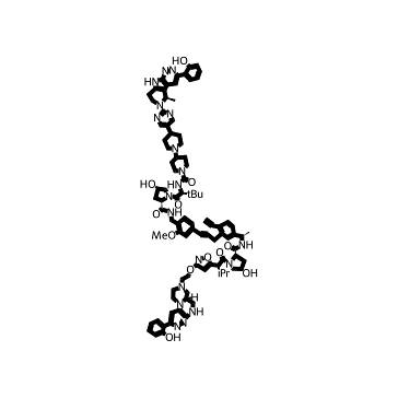 C#Cc1ccc([C@H](C)NC(=O)[C@@H]2C[C@@H](O)CN2C(=O)[C@H](c2cc(OCCN3CCN4c5cc(-c6ccccc6O)nnc5NC[C@H]4C3)no2)C(C)C)cc1CC#Cc1ccc(CNC(=O)[C@@H]2C[C@@H](O)CN2C(=O)[C@@H](NC(=O)N2CCC(N3CCC(c4cnc(N5CCc6[nH]c7nnc(-c8ccccc8O)cc7c6[C@H]5C)nc4)CC3)CC2)C(C)(C)C)c(OC)c1